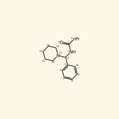 CCCC(=O)NC(c1ccccc1)N1CCCCC1